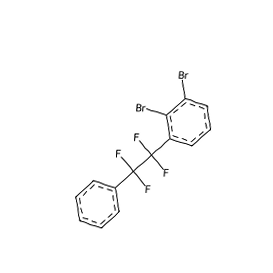 FC(F)(c1ccccc1)C(F)(F)c1cccc(Br)c1Br